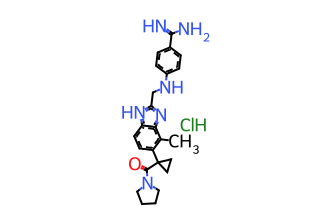 Cc1c(C2(C(=O)N3CCCC3)CC2)ccc2[nH]c(CNc3ccc(C(=N)N)cc3)nc12.Cl